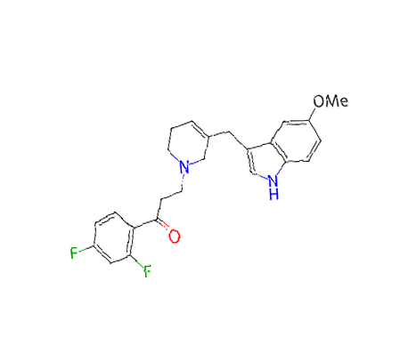 COc1ccc2[nH]cc(CC3=CCCN(CCC(=O)c4ccc(F)cc4F)C3)c2c1